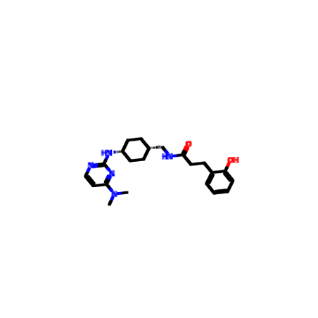 CN(C)c1ccnc(N[C@H]2CC[C@@H](CNC(=O)CCc3ccccc3O)CC2)n1